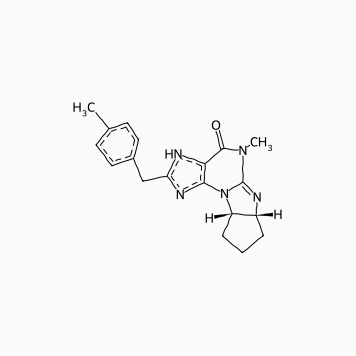 Cc1ccc(Cc2nc3c([nH]2)C(=O)N(C)C2=N[C@@H]4CCC[C@@H]4N23)cc1